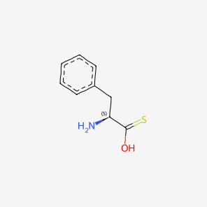 N[C@@H](Cc1ccccc1)C(O)=S